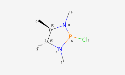 C[C@@H]1[C@@H](C)N(C)P(Cl)N1C